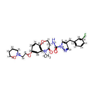 CN1C(=O)[C@@H](NC(=O)n2cc(Cc3cccc(F)c3)cn2)COc2ccc(OCCN3CCCCO3)cc21